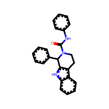 O=C(Nc1ccccc1)N1CCc2c([nH]c3ccccc23)C1c1ccccc1